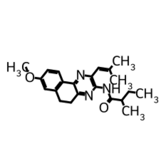 CCC(C)C(=O)Nc1nc2c(nc1C=C(C)C)-c1ccc(OC)cc1CC2